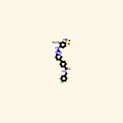 COc1cc(S(C)(=N)=O)ccc1Nc1nc2ccc(-c3ccc(C(=O)NCc4ccc(F)cc4)cc3)cn2n1